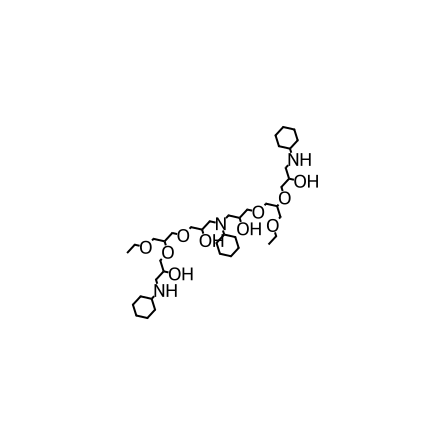 CCOCC(COCC(O)CN(CC(O)COCC(COCC)OCC(O)CNC1CCCCC1)C1CCCCC1)OCC(O)CNC1CCCCC1